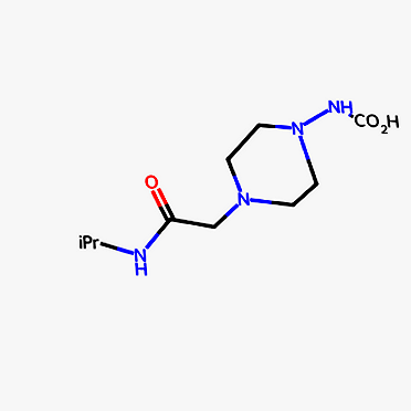 CC(C)NC(=O)CN1CCN(NC(=O)O)CC1